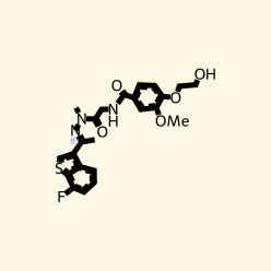 COc1cc(C(=O)NCC(=O)N(C)/N=C(\C)c2csc3c(F)cccc23)ccc1OCCO